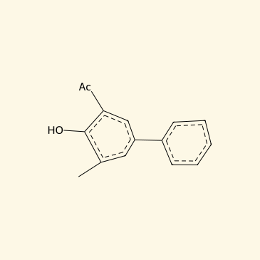 CC(=O)c1cc(-c2ccccc2)cc(C)c1O